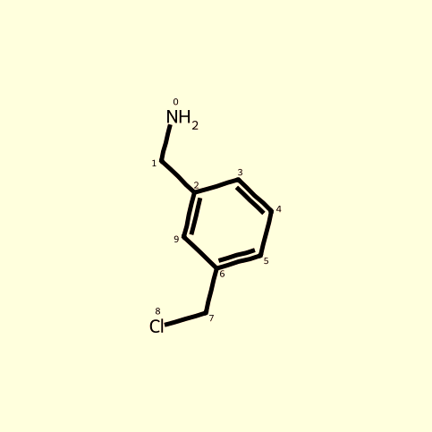 NCc1cccc(CCl)c1